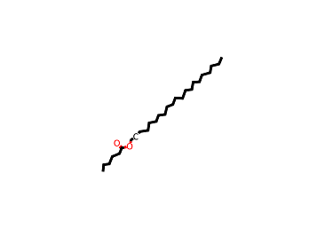 CCCCCCCCCCCCCCCCCCCCCOC(=O)CCCCC